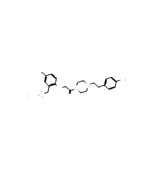 O=C(COc1ccc(Cl)cc1CS(=O)(=O)O)N1CCN(CCc2ccc(Cl)cc2)CC1